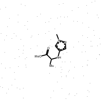 COC(=O)C(Nc1cnn(C)c1)C(C)(C)C